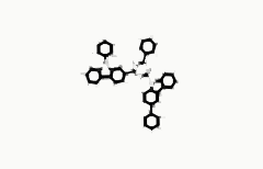 c1ccc(-c2ccc3c(c2)c2ccccc2n3-c2nc(-c3ccccc3)nc(-c3ccc4c5ccccc5n(-c5ccccc5)c4c3)n2)cc1